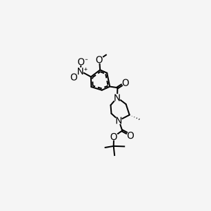 COc1cc(C(=O)N2CCN(C(=O)OC(C)(C)C)[C@@H](C)C2)ccc1[N+](=O)[O-]